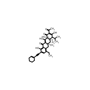 CCc1cc(C#CC2=CCCCC2)c(O)c2c1C[C@]1(C)C[C@]3(C)C(C(C)C)C(O)=C(C(C)=O)C(=O)[C@]3(O)C(O)=C1C2=O